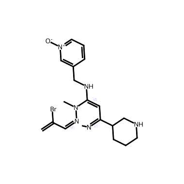 C=C(Br)/C=N\N(C)/C(=C\C(=N/C)C1CCCNC1)NCc1ccc[n+]([O-])c1